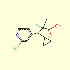 CC(F)(C(=O)O)[C@H](c1ccnc(Cl)c1)C1CC1